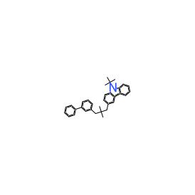 CC(C)(Cc1cccc(-c2ccccc2)c1)Cc1ccc2c(c1)c1ccccc1n2C(C)(C)C